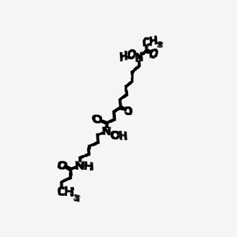 CCCC(=O)NCCCCCN(O)C(=O)CCC(=O)CCCCCCN(O)C(C)=O